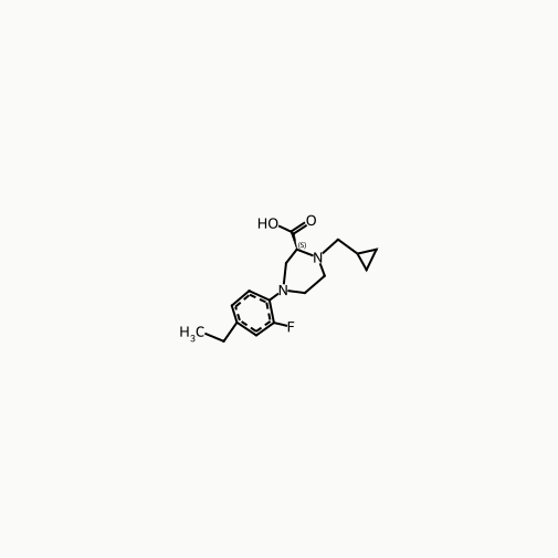 CCc1ccc(N2CCN(CC3CC3)[C@H](C(=O)O)C2)c(F)c1